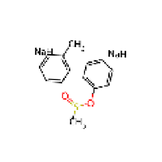 CS(=O)Oc1ccccc1.Cc1ccccc1.[NaH].[NaH]